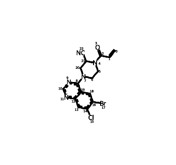 C=CC(=O)N1CCN(c2ncnc3cc(Cl)c(Br)cc23)CC1C#N